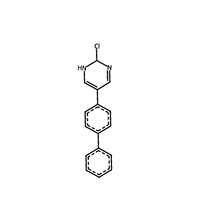 ClC1N=CC(c2ccc(-c3ccccc3)cc2)=CN1